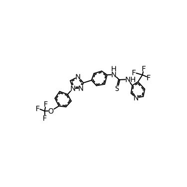 FC(F)(F)Oc1ccc(-n2cnc(-c3ccc(NC(=S)Nc4cnccc4C(F)(F)F)cc3)n2)cc1